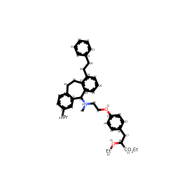 CCCc1ccc2c(c1)C(N(C)CCOc1ccc(CC(OCC)C(=O)OCC)cc1)c1cccc(CCc3ccccc3)c1CC2